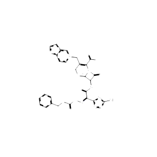 Nc1nc(/C(=N/OC(=O)NCc2ccccc2)C(=O)NC2C(=O)N3C(C(=O)[O-])=C(C[n+]4ccc5sccc5c4)CS[C@H]23)no1